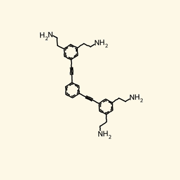 NCCc1cc(C#Cc2cccc(C#Cc3cc(CCN)cc(CCN)c3)c2)cc(CCN)c1